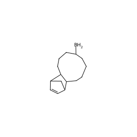 BC1CCCCC2C3C=CC(C3)C2CCC1